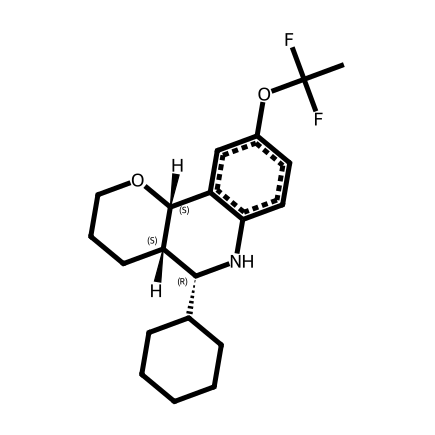 CC(F)(F)Oc1ccc2c(c1)[C@H]1OCCC[C@H]1[C@@H](C1CCCCC1)N2